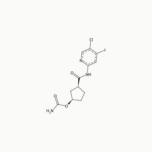 NC(=O)O[C@@H]1CC[C@H](C(=O)Nc2cc(I)c(Cl)cn2)C1